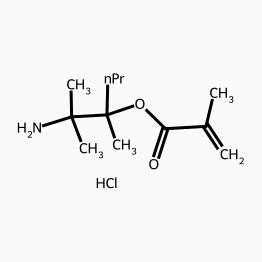 C=C(C)C(=O)OC(C)(CCC)C(C)(C)N.Cl